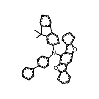 CC1(C)c2ccccc2-c2ccc(N(c3ccc(-c4ccccc4)cc3)c3c4oc5ccccc5c4cc4oc5ccccc5c34)cc21